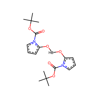 CC(C)(C)OC(=O)n1cccc1OBOc1cccn1C(=O)OC(C)(C)C